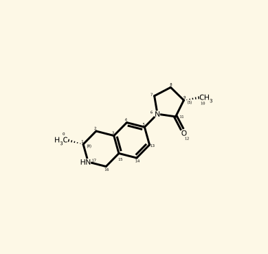 C[C@@H]1Cc2cc(N3CC[C@H](C)C3=O)ccc2CN1